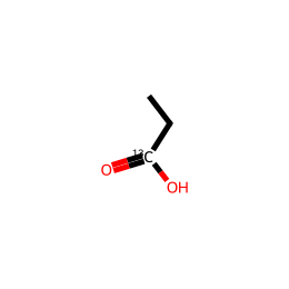 CC[13C](=O)O